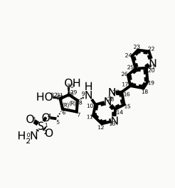 NS(=O)(=O)OC[C@H]1C[C@@H](Nc2ccnc3cc(-c4ccc5ncccc5c4)nn23)[C@H](O)[C@@H]1O